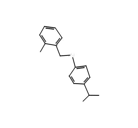 Cc1ccccc1CNc1ccc(C(C)C)cc1